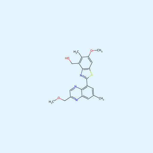 COCc1cnc2c(-c3nc4c(CO)c(C)c(OC)cc4s3)cc(C)cc2n1